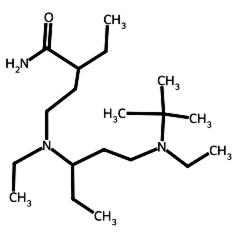 CCC(CCN(CC)C(CC)CCN(CC)C(C)(C)C)C(N)=O